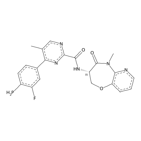 Cc1cnc(C(=O)N[C@H]2COc3cccnc3N(C)C2=O)nc1-c1ccc(P)c(F)c1